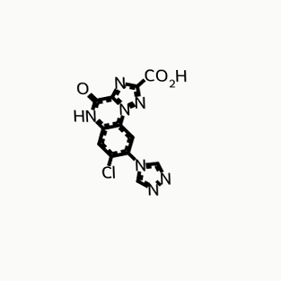 O=C(O)c1nc2c(=O)[nH]c3cc(Cl)c(-n4cnnc4)cc3n2n1